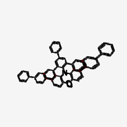 c1ccc(-c2ccc(-c3ccc4c(c3)N(c3c(-c5ccccc5)cc(-c5ccccc5)cc3-c3ccccc3)c3cc(-c5ccc(-c6ccccc6)cc5)ccc3O4)cc2)cc1